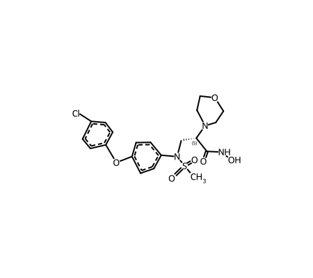 CS(=O)(=O)N(C[C@@H](C(=O)NO)N1CCOCC1)c1ccc(Oc2ccc(Cl)cc2)cc1